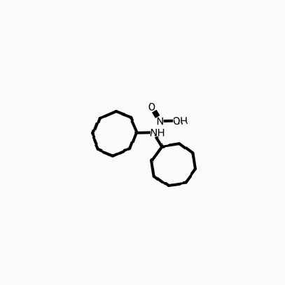 C1CCCC(NC2CCCCCCC2)CCC1.O=NO